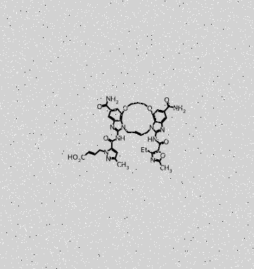 CCc1nc(C)oc1C(=O)Nc1nc2cc(C(N)=O)cc3c2n1C/C=C/Cn1c(NC(=O)c2cc(C)nn2C/C=C/C(=O)O)nc2cc(C(N)=O)cc(c21)OCCCO3